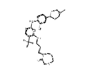 CN1CCN(c2ccc(Nc3ncc(C(F)(F)F)c(NCCCN4CCCOCC4=O)n3)c(Cl)c2)CC1